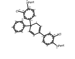 CCCCCc1ccc(C2=CCC(c3ccccc3)(c3ccc(CCCCC)c(Cl)c3)C=C2)cc1Cl